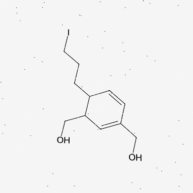 OCC1=CC(CO)C(CCCI)C=C1